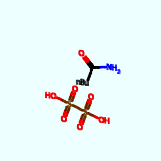 CCCCC(N)=O.O=S(=O)(O)S(=O)(=O)O